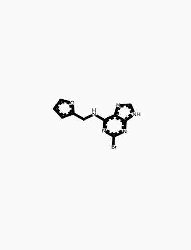 Brc1nc(NCc2ccco2)c2nc[nH]c2n1